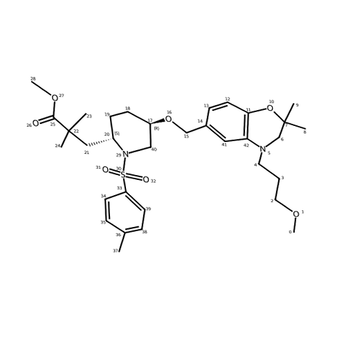 COCCCN1CC(C)(C)Oc2ccc(CO[C@@H]3CC[C@@H](CC(C)(C)C(=O)OC)N(S(=O)(=O)c4ccc(C)cc4)C3)cc21